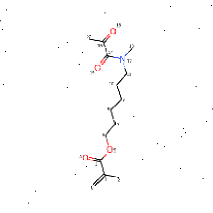 C=C(C)C(=O)OCCCCCCN(C)C(=O)C(C)=O